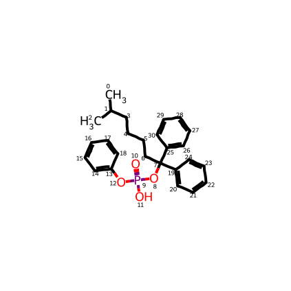 CC(C)CCCCC(OP(=O)(O)Oc1ccccc1)(c1ccccc1)c1ccccc1